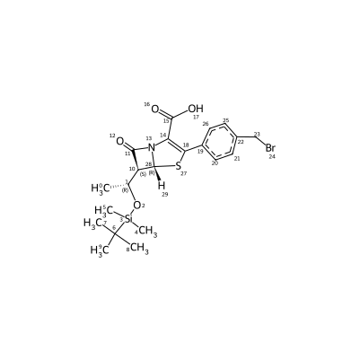 C[C@@H](O[Si](C)(C)C(C)(C)C)[C@H]1C(=O)N2C(C(=O)O)=C(c3ccc(CBr)cc3)S[C@H]12